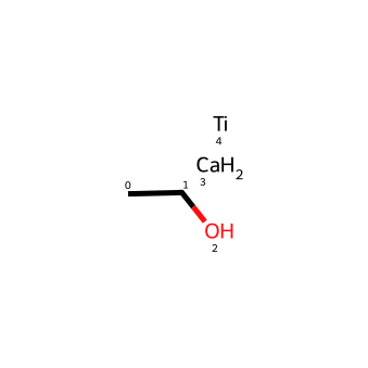 CCO.[CaH2].[Ti]